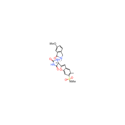 CNS(=O)(=O)c1cc2oc([C@]3(CN4Cc5ccc(OC)cc5C4=O)NC(=O)NC3=O)cc2cc1C